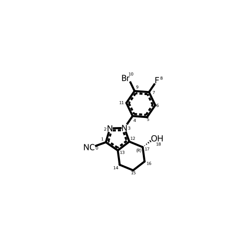 N#Cc1nn(-c2ccc(F)c(Br)c2)c2c1CCC[C@H]2O